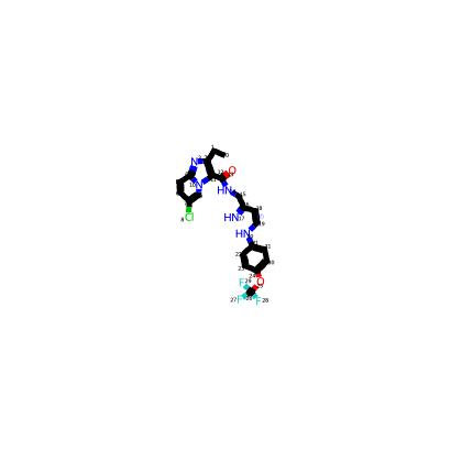 CCc1nc2ccc(Cl)cn2c1C(=O)NCC(=N)/C=C\Nc1ccc(OC(F)(F)F)cc1